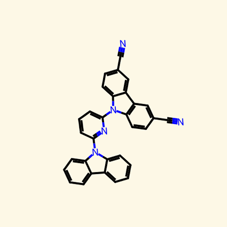 N#Cc1ccc2c(c1)c1cc(C#N)ccc1n2-c1cccc(-n2c3ccccc3c3ccccc32)n1